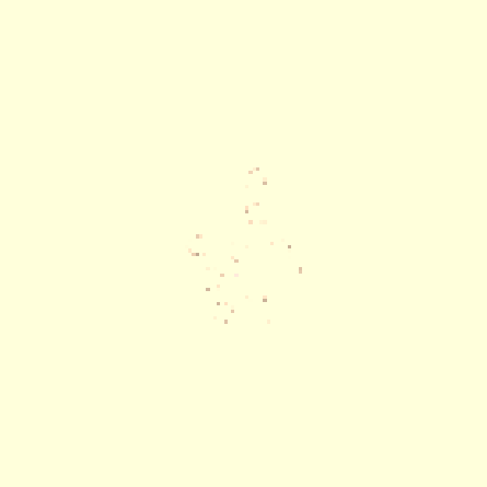 C=Cc1ccc(N(c2ccc(-c3cccc(Br)c3)cc2)c2ccc3c4c(-c5ccccc5)cc5sc6ccccc6c5c4n(-c4ccc(C=C)cc4)c3c2)cc1